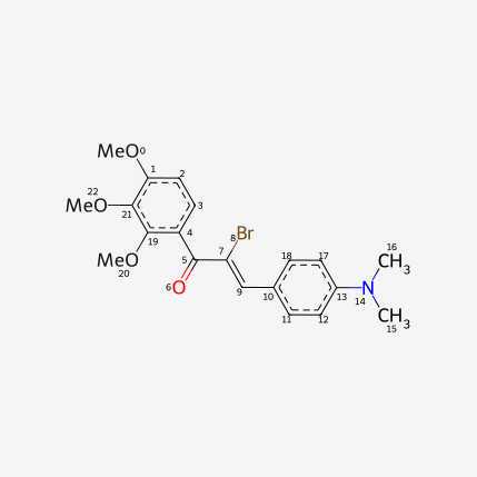 COc1ccc(C(=O)/C(Br)=C/c2ccc(N(C)C)cc2)c(OC)c1OC